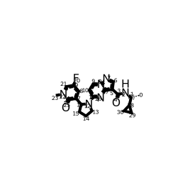 C[C@@H](NC(=O)c1cnn2ccc(N3CCCC3c3cc(F)cn(C)c3=O)nc12)C1CC1